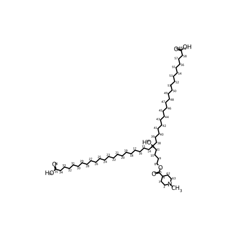 CN1CCC(C(=O)OCCCCC(O)(CCCCCCCCCCCCCCCCCCCCCC(=O)O)CCCCCCCCCCCCCCCCCCCCCC(=O)O)CC1